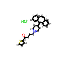 Cl.O=C(CCCN1CCC(=C2c3ccccc3C=Cc3ccccc32)CC1)c1cccs1